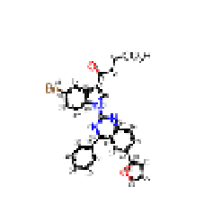 O=C(O)CCC(=O)c1cn(-c2nc(-c3ccccc3)c3cc(-c4ccco4)ccc3n2)c2ccc(Br)cc12